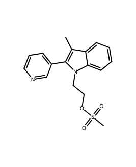 Cc1c(-c2cccnc2)n(CCOS(C)(=O)=O)c2ccccc12